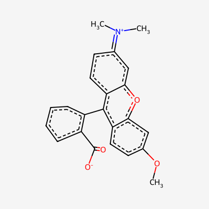 COc1ccc2c(-c3ccccc3C(=O)[O-])c3ccc(=[N+](C)C)cc-3oc2c1